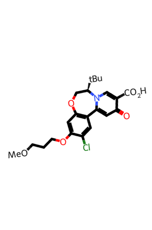 COCCCOc1cc2c(cc1Cl)-c1cc(=O)c(C(=O)O)cn1[C@H](C(C)(C)C)CO2